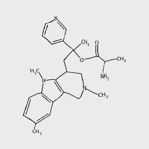 Cc1ccc2c(c1)c1c(n2C)C(CC(C)(OC(=O)C(C)N)c2cccnc2)CN(C)C1